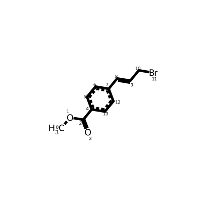 COC(=O)c1ccc(/C=C/CBr)cc1